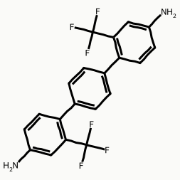 Nc1ccc(-c2ccc(-c3ccc(N)cc3C(F)(F)F)cc2)c(C(F)(F)F)c1